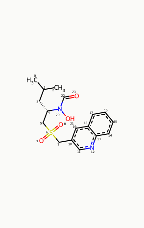 CC(C)C[C@@H](CS(=O)(=O)Cc1cnc2ccccc2c1)N(O)C=O